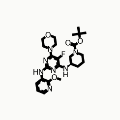 COc1ncccc1Nc1nc(N[C@@H]2CCCN(C(=O)OC(C)(C)C)C2)c(F)c(N2CCOCC2)n1